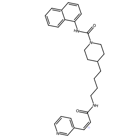 O=C(/C=C\c1cccnc1)NCCCCC1CCN(C(=O)Nc2cccc3ccccc23)CC1